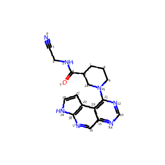 N#CCNC(=O)C1CCCN(c2ncnc3cnc4[nH]ccc4c23)C1